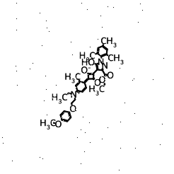 CCOC(=O)c1nn(-c2c(C)cc(C)cc2C)c(O)c1C1=C([O-])/C(=C2C=C/C(=[N+](/CC)CCOc3ccc(OC)cc3)C=C/2C)C1=O